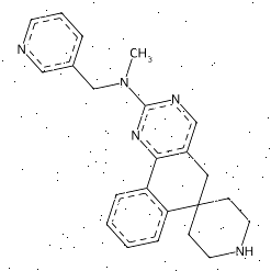 CN(Cc1cccnc1)c1ncc2c(n1)-c1ccccc1C1(CCNCC1)C2